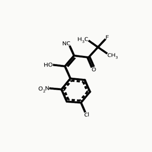 CC(C)(F)C(=O)C(C#N)=C(O)c1ccc(Cl)cc1[N+](=O)[O-]